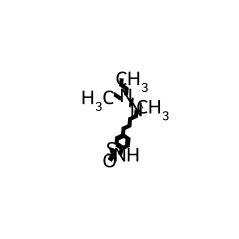 CCCN(CCC)CCN(C)CCCCc1ccc2[nH]c(=O)sc2c1